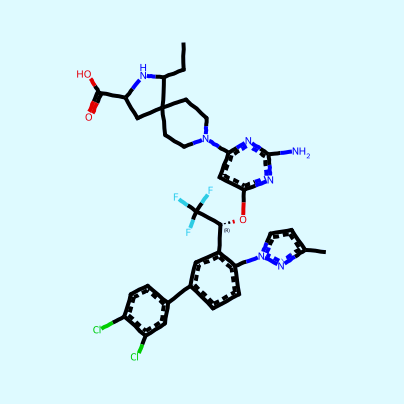 CCC1NC(C(=O)O)CC12CCN(c1cc(O[C@H](c3cc(-c4ccc(Cl)c(Cl)c4)ccc3-n3ccc(C)n3)C(F)(F)F)nc(N)n1)CC2